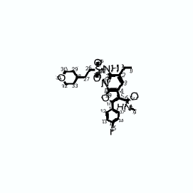 CCc1cc2c(C(=O)NC)c(-c3ccc(F)cc3)oc2nc1NS(=O)(=O)CCC1CCOCC1